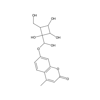 Cc1cc(=O)oc2cc(OC(O)C3(O)C(O)C(O)C3CO)ccc12